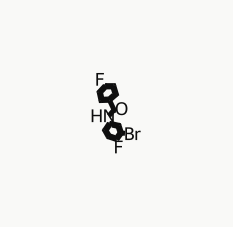 O=C(Nc1ccc(F)c(Br)c1)c1ccc(F)cc1